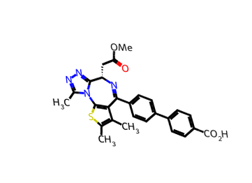 COC(=O)C[C@@H]1N=C(c2ccc(-c3ccc(C(=O)O)cc3)cc2)c2c(sc(C)c2C)-n2c(C)nnc21